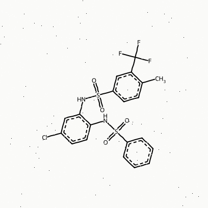 Cc1ccc(S(=O)(=O)Nc2cc(Cl)ccc2NS(=O)(=O)c2ccccc2)cc1C(F)(F)F